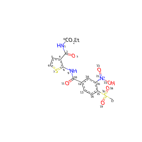 CCOC(=O)NC(=O)c1ccsc1NC(=O)c1ccc(S(C)(=O)=O)c([N+](=O)O)c1